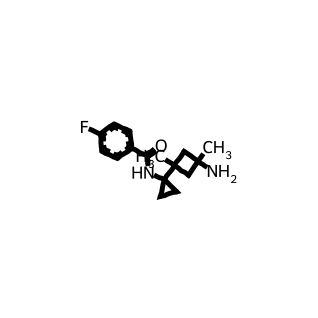 CC1(N)CC(C)(C2(NC(=O)c3ccc(F)cc3)CC2)C1